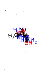 C[C@@H](O)[C@H](N)C(=O)N[C@@H](CCC(N)=O)c1nc([C@@H](N)CO)no1